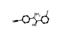 N#Cc1ccc(N(N)C(=N)c2cccc(F)c2)cc1